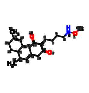 CCONCCCC=C1C(=O)CC(=CC(C)C2CC=C(C)CC2)CC1=O